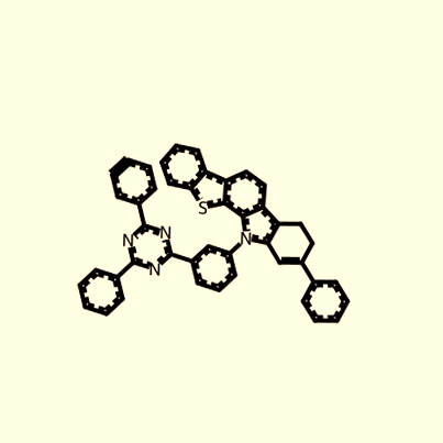 c1ccc(-c2nc(-c3ccccc3)nc(-c3cccc(-n4c5c(c6ccc7c8ccccc8sc7c64)CCC(c4ccccc4)=C5)c3)n2)cc#1